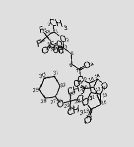 CC(OC(=O)CCC(=O)OC1C2OC(=O)C3C2OC1C3C(=O)OC(C)(C)OC1CCCCC1)C(F)(F)S(=O)(=O)O